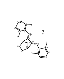 Cc1cccc(C)c1N=C1C(=Nc2c(C)cccc2C)C2CCC1C2.[Ni]